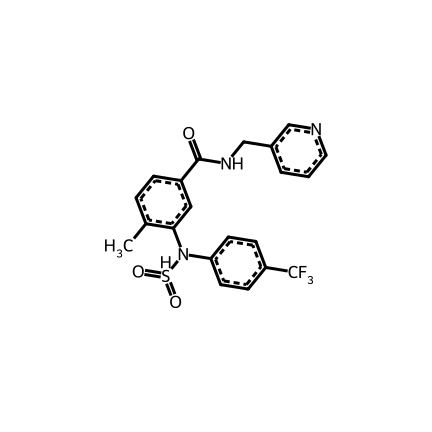 Cc1ccc(C(=O)NCc2cccnc2)cc1N(c1ccc(C(F)(F)F)cc1)[SH](=O)=O